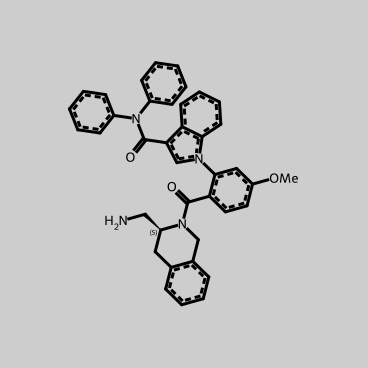 COc1ccc(C(=O)N2Cc3ccccc3C[C@H]2CN)c(-n2cc(C(=O)N(c3ccccc3)c3ccccc3)c3ccccc32)c1